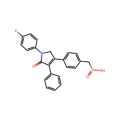 O=C1C(c2ccccc2)=C(c2ccc(CS(=O)O)cc2)CN1c1ccc(F)cc1